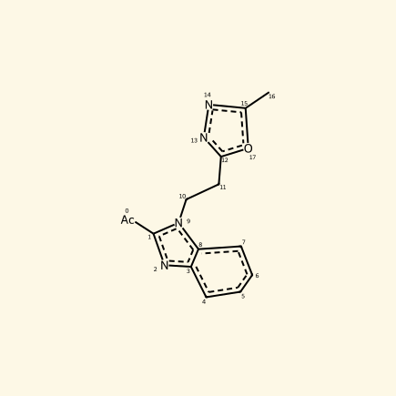 CC(=O)c1nc2ccccc2n1CCc1nnc(C)o1